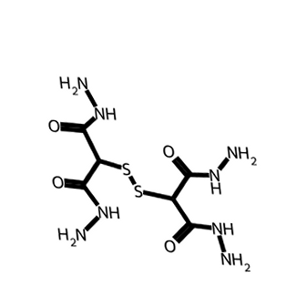 NNC(=O)C(SSC(C(=O)NN)C(=O)NN)C(=O)NN